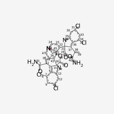 C=C(C(N)=O)C1=c2c(Cl)cc(Cl)cc2=NC1(C(=O)OC(=O)C1(c2ccncc2)N=c2cc(Cl)cc(Cl)c2=C1C(=C)C(N)=O)c1ccncc1